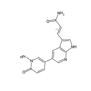 CCCn1cc(-c2cnc3[nH]cc(/C=C/C(N)=O)c3c2)ccc1=O